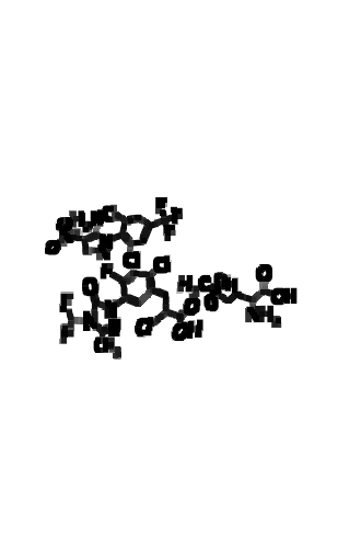 CP(=O)(O)CCC(N)C(=O)O.Cc1nn(-c2cc(CC(Cl)C(=O)O)c(Cl)cc2F)c(=O)n1C(F)F.Nc1c([N+](=O)[O-])cnn1-c1c(Cl)cc(C(F)(F)F)cc1Cl